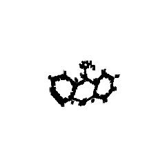 CN1c2ccc#cc2Sc2ccccc21